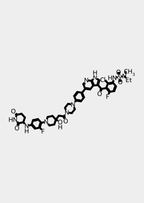 CCN(C)S(=O)(=O)Nc1ccc(F)c(C(=O)c2c[nH]c3ncc(-c4ccc(N5CCN(C(=O)CC6(O)CCN(c7ccc(NC8CCC(=O)NC8=O)cc7F)CC6)CC5)cc4)cc23)c1Cl